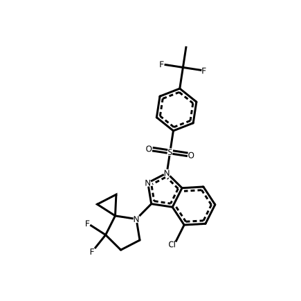 CC(F)(F)c1ccc(S(=O)(=O)n2nc(N3CCC(F)(F)C34CC4)c3c(Cl)cccc32)cc1